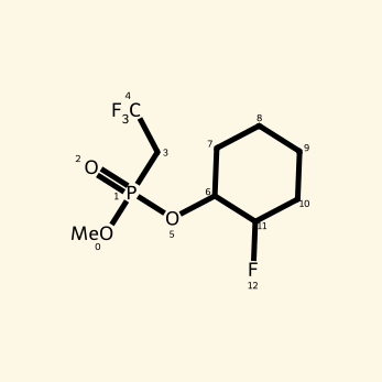 COP(=O)(CC(F)(F)F)OC1CCCCC1F